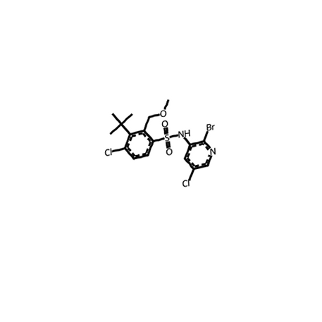 COCc1c(S(=O)(=O)Nc2cc(Cl)cnc2Br)ccc(Cl)c1C(C)(C)C